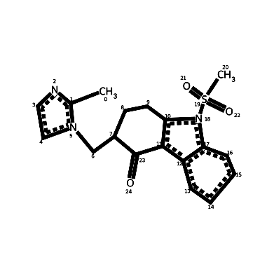 Cc1nccn1CC1CCc2c(c3ccccc3n2S(C)(=O)=O)C1=O